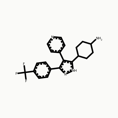 NC1CCC(c2[nH]nc(-c3ccc(C(F)(F)F)cc3)c2-c2ccncc2)CC1